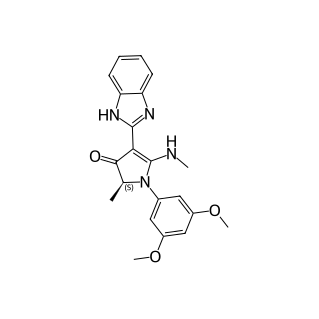 CNC1=C(c2nc3ccccc3[nH]2)C(=O)[C@H](C)N1c1cc(OC)cc(OC)c1